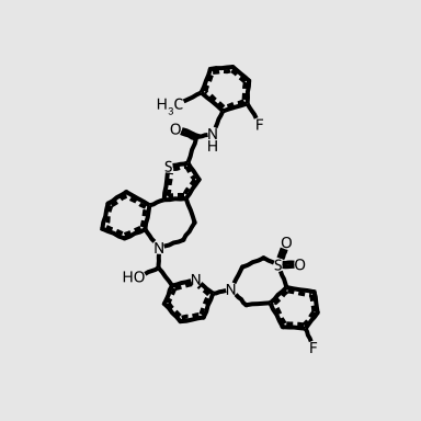 Cc1cccc(F)c1NC(=O)c1cc2c(s1)-c1ccccc1N(C(O)c1cccc(N3CCS(=O)(=O)c4ccc(F)cc4C3)n1)CC2